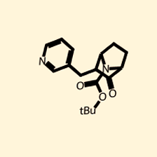 CC(C)(C)OC(=O)N1C2CCC1C(Cc1cccnc1)C2=O